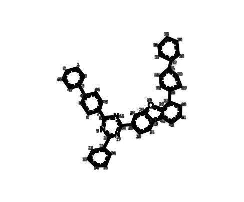 c1ccc(-c2ccc(-c3nc(-c4ccccc4)nc(-c4ccc5c(c4)oc4c(-c6ccc(-c7ccccc7)cc6)cccc45)n3)cc2)cc1